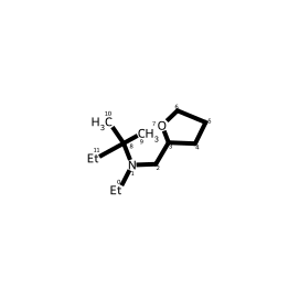 CCN(CC1CCCO1)C(C)(C)CC